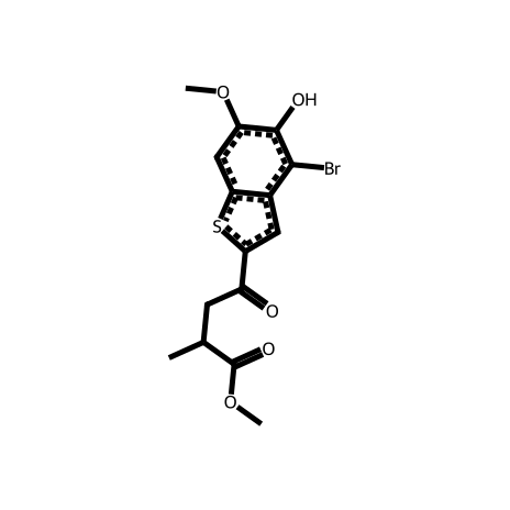 COC(=O)C(C)CC(=O)c1cc2c(Br)c(O)c(OC)cc2s1